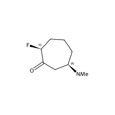 CN[C@@H]1CCC[C@H](F)C(=O)C1